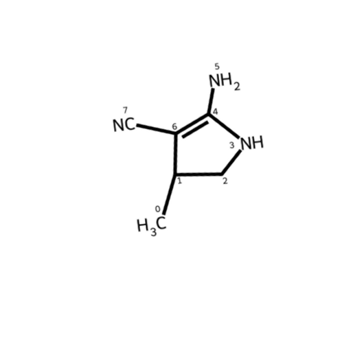 CC1CNC(N)=C1C#N